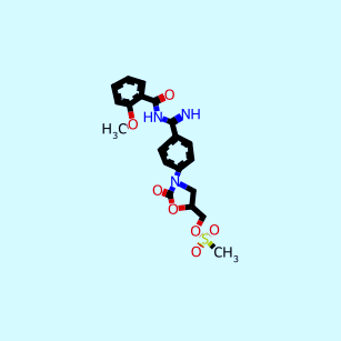 COc1ccccc1C(=O)NC(=N)c1ccc(N2CC(COS(C)(=O)=O)OC2=O)cc1